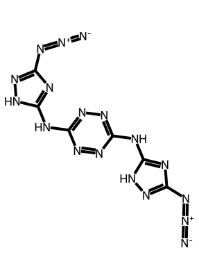 [N-]=[N+]=Nc1n[nH]c(Nc2nnc(Nc3nc(N=[N+]=[N-])n[nH]3)nn2)n1